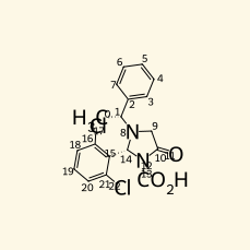 C[C@H](c1ccccc1)N1CC(=O)N(C(=O)O)[C@@H]1c1c(Cl)cccc1Cl